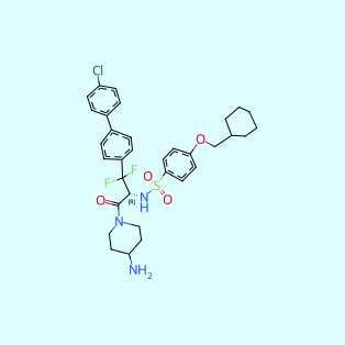 NC1CCN(C(=O)[C@@H](NS(=O)(=O)c2ccc(OCC3CCCCC3)cc2)C(F)(F)c2ccc(-c3ccc(Cl)cc3)cc2)CC1